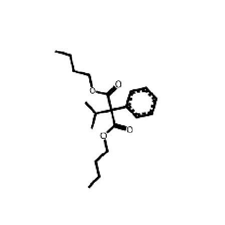 CCCCOC(=O)C(C(=O)OCCCC)(c1ccccc1)C(C)C